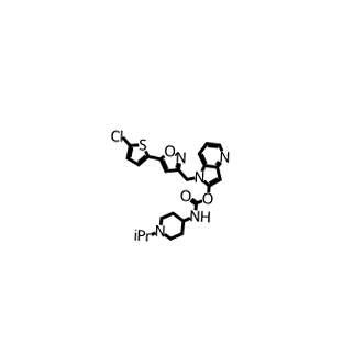 CC(C)N1CCC(NC(=O)Oc2cc3ncccc3n2Cc2cc(-c3ccc(Cl)s3)on2)CC1